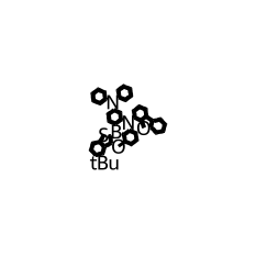 CC(C)(C)c1ccc2sc3c(c2c1)Oc1cccc2c1B3c1ccc(N(c3ccccc3)c3ccccc3)cc1N2c1cccc2c1oc1ccccc12